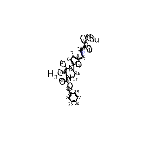 C[C@H]1C(=O)N(c2ccc(/C=C/C(=O)OC(C)(C)C)o2)CCN1C(=O)OCc1ccccc1